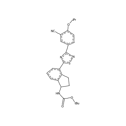 CC(C)Oc1ccc(-c2nsc(-c3cccc4c3CCC4NC(=O)OC(C)(C)C)n2)cc1C#N